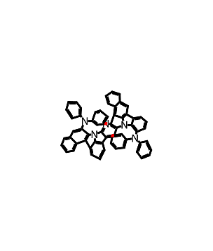 c1ccc(N(c2ccccc2)c2cccc3c4cc5ccccc5c5c6nc7c(cc6n(c23)c45)c2cccc3c4c5ccccc5cc(N(c5ccccc5)c5ccccc5)c4n7c23)cc1